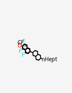 CCCCCCCC1CCC2CC(c3cc(F)c4c(F)c(OC(F)(F)F)c(F)cc4c3)CCC2C1